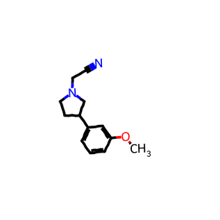 COc1cccc(C2CCN(CC#N)C2)c1